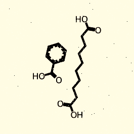 O=C(O)CCCCCCCCC(=O)O.O=C(O)c1ccccc1